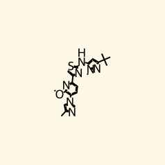 COc1nc(-c2csc(Nc3cc(C(C)(C)C)nn3C)n2)ccc1-n1cnc(C)c1